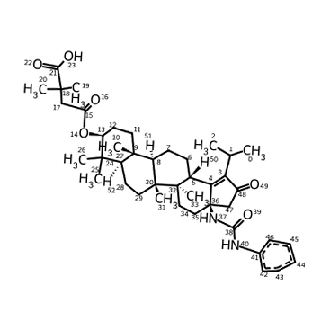 CC(C)C1=C2[C@H]3CC[C@@H]4[C@@]5(C)CC[C@H](OC(=O)CC(C)(C)C(=O)O)C(C)(C)[C@@H]5CC[C@@]4(C)[C@]3(C)CC[C@@]2(NC(=O)Nc2ccccc2)CC1=O